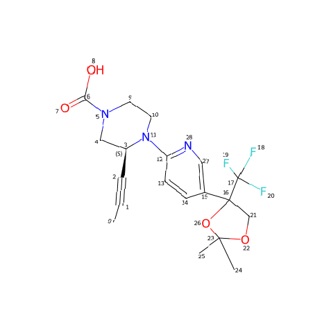 CC#C[C@H]1CN(C(=O)O)CCN1c1ccc(C2(C(F)(F)F)COC(C)(C)O2)cn1